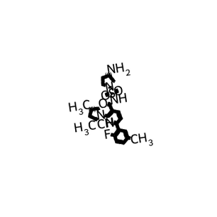 Cc1ccc(F)c(-c2ccc(C(=O)NS(=O)(=O)N3CC[C@H](N)C3)c(N3C[C@@H](C)CC3(C)C)n2)c1